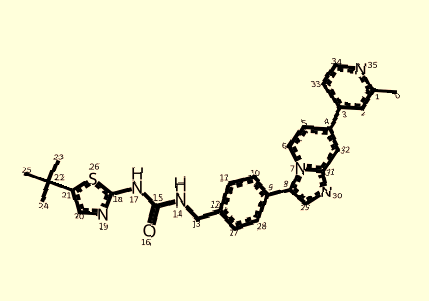 Cc1cc(-c2ccn3c(-c4ccc(CNC(=O)Nc5ncc(C(C)(C)C)s5)cc4)cnc3c2)ccn1